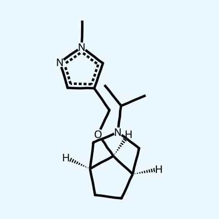 CC(C)N1C[C@H]2CC[C@@H](C1)[C@H]2OCc1cnn(C)c1